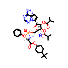 CC(C)C(=O)O[C@H]1[C@H](c2ccc3c(N)ncnn23)O[C@](C#N)(COP(=O)(N[C@@H](C)C(=O)OC2CCC(C(C)(C)C)CC2)Oc2ccccc2)[C@H]1OC(=O)C(C)C